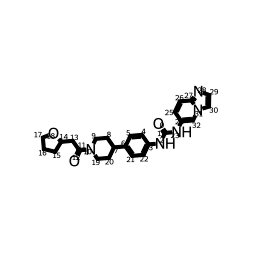 O=C(Nc1ccc(C2CCN(C(=O)CC3CCCO3)CC2)cc1)Nc1ccc2nccn2c1